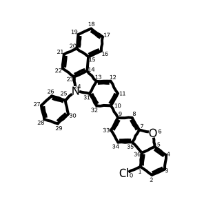 Clc1cccc2oc3cc(-c4ccc5c6c7ccccc7ccc6n(-c6ccccc6)c5c4)ccc3c12